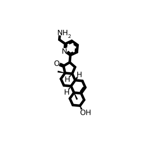 C[C@]12CC[C@H](O)CC1=CC[C@@H]1[C@@H]2CC[C@]2(C)C(=O)C(c3cccc(CN)n3)C[C@@H]12